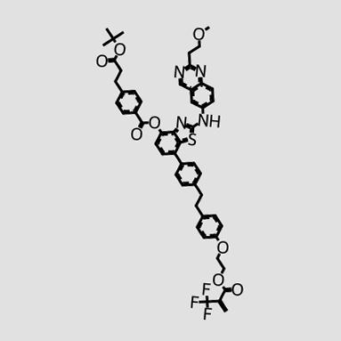 C=C(C(=O)OCCOc1ccc(CCc2ccc(-c3ccc(OC(=O)c4ccc(CCC(=O)OC(C)(C)C)cc4)c4nc(Nc5ccc6nc(CCOC)ncc6c5)sc34)cc2)cc1)C(F)(F)F